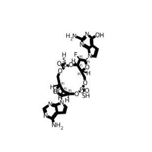 Nc1nc(O)c2ccn([C@@H]3O[C@@H]4COP(=O)(S)O[C@@H]5[C@H](O)[C@@H](COP(=O)(S)O[C@H]4[C@H]3F)O[C@H]5n3ccc4c(N)ncnc43)c2n1